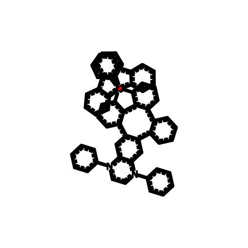 c1ccc(-n2ccn(-c3ccccc3)c3cc4c(cc32)c2ccccc2c2cccc(-n3c5ccccc5c5ccccc53)c2c2c(-n3c5ccccc5c5ccccc53)cccc42)cc1